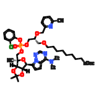 CCCCCCCCCCCCCCCCCCOC[C@H](COP(=O)(OC[C@@]1(C#N)O[C@@H](c2ccc3c(N(CC)CC)ncnn23)[C@@H]2OC(C)(C)O[C@@H]21)Oc1ccccc1Cl)OCc1cccc(C#N)n1